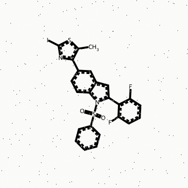 Cc1sc(I)nc1-c1ccc2c(c1)cc(-c1c(F)cccc1F)n2S(=O)(=O)c1ccccc1